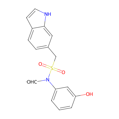 O=[C]N(c1cccc(O)c1)S(=O)(=O)Cc1ccc2cc[nH]c2c1